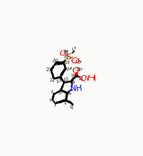 CC1=CC=CC2C1NC(C(=O)O)C2C1=CC(S(C)(=O)=O)=CCC1